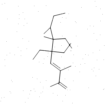 CCC1OC1(CC)C(/C=C(\C)C(=O)O)(CC)CC